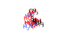 CCOC(=O)C(Nc1ccc2c(c1O)CC1=C(O)[C@@]3(O)C(=O)C(C(N)=O)=C(O)[C@@H](N(C)C)[C@H]3[C@H](O)[C@H]1[C@@H]2C=O)OCC=C=O